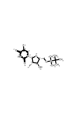 CC(C)(C)[Si](C)(C)OC[C@H]1O[C@@H](n2cc(F)c(=O)[nH]c2=O)[C@@H](F)[C@@H]1O